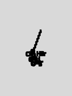 Br.CCCCCCCCCCCCCCOc1ccc(NC(=O)c2ccccc2CN2C=C(C)SC2)cc1Cl